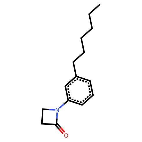 CCCCCCc1cccc(N2CCC2=O)c1